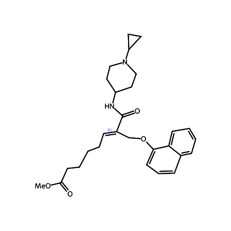 COC(=O)CCCC/C=C(\COc1cccc2ccccc12)C(=O)NC1CCN(C2CC2)CC1